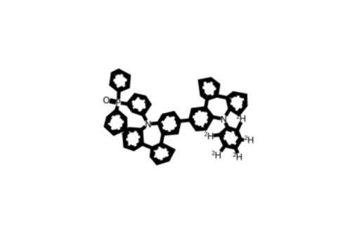 [2H]c1c([2H])c([2H])c(N2c3ccccc3-c3ccccc3-c3cc(-c4ccc5c(c4)-c4ccccc4-c4ccccc4N5c4cccc(P(=O)(c5ccccc5)c5ccccc5)c4)ccc32)c([2H])c1[2H]